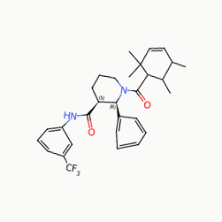 CC1C=CC(C)(C)C(C(=O)N2CCC[C@H](C(=O)Nc3cccc(C(F)(F)F)c3)[C@@H]2c2ccccc2)C1C